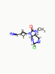 Cn1c(=O)n(C23CC(C#N)(C2)C3)c2nc(Cl)ncc21